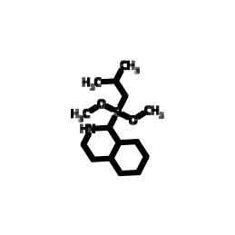 CO[Si](CC(C)C)(OC)C1NCCC2CCCCC21